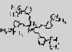 CN(C)c1cccc(/C=C/c2nc(/C=C/c3cccc(N(C)C)c3)c(/C=C/c3cccc(N(C)C)c3)nc2/C=C/c2cccc(N(C)C)c2)c1